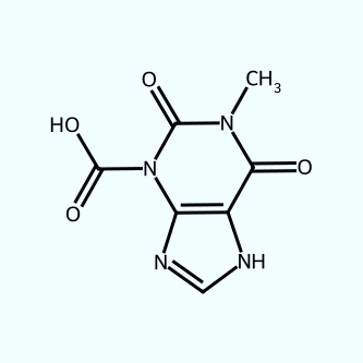 Cn1c(=O)c2[nH]cnc2n(C(=O)O)c1=O